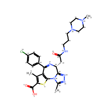 Cc1c(C(=O)O)sc2c1C(c1ccc(Cl)cc1)=N[C@H](CC(=O)NCCCN1CCN(C)CC1)c1nnc(C)n1-2